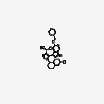 CC(O)c1ncn(C2CCCc3cc(Cl)ccc32)c1-c1c[nH]c2cnc(OCc3ccccc3)cc12